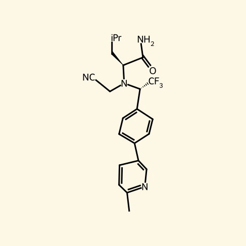 Cc1ccc(-c2ccc([C@H](N(CC#N)[C@@H](CC(C)C)C(N)=O)C(F)(F)F)cc2)cn1